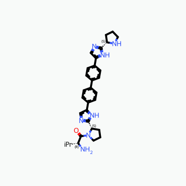 CC(C)[C@@H](N)C(=O)N1CCC[C@H]1c1ncc(-c2ccc(-c3ccc(-c4cnc([C@@H]5CCCN5)[nH]4)cc3)cc2)[nH]1